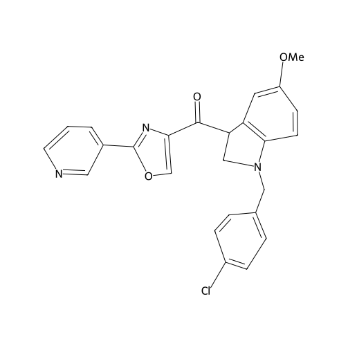 COc1ccc2c(c1)C(C(=O)c1coc(-c3cccnc3)n1)CN2Cc1ccc(Cl)cc1